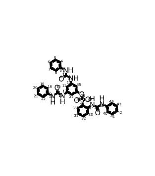 O=C(Nc1ccccc1)Nc1cc(NC(=O)Nc2ccccc2)cc(OS(=O)(=O)c2ccccc2NC(=O)Nc2ccccc2)c1